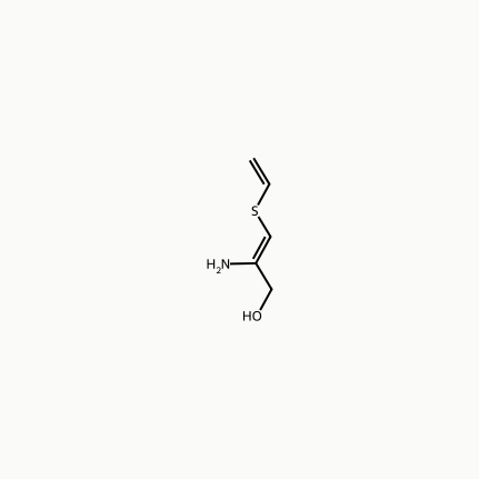 C=CS/C=C(\N)CO